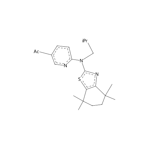 CC(=O)c1ccc(N(CC(C)C)c2nc3c(s2)C(C)(C)CCC3(C)C)nc1